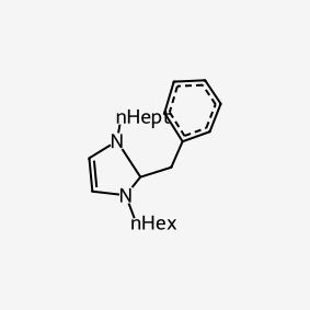 CCCCCCCN1C=CN(CCCCCC)C1Cc1ccccc1